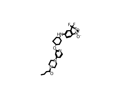 CCCC(=O)N1CCN(c2ccnc(O[C@H]3CC[C@H](Nc4ccc([N+](=O)[O-])c(C(F)(F)F)c4)CC3)c2)CC1